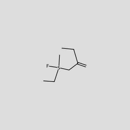 C=C(CC)CS(C)(F)CC